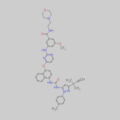 C#CC(C)(C)c1cc(NC(=O)Nc2ccc(Oc3ccnc(Nc4cc(OC(F)(F)F)cc(C(=O)NCCN5CCOCC5)c4)n3)c3ccccc23)n(-c2ccc(C)cc2)n1